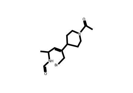 CC(=O)N1CCC(C(=CC(C)NC=O)CBr)CC1